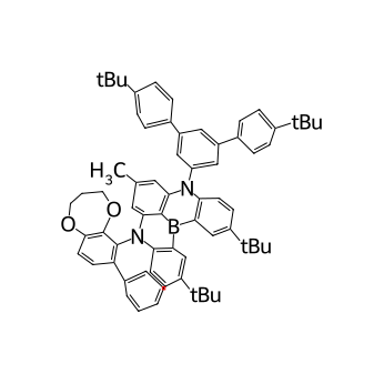 Cc1cc2c3c(c1)N(c1c(-c4ccccc4)ccc4c1OCCCO4)c1ccc(C(C)(C)C)cc1B3c1cc(C(C)(C)C)ccc1N2c1cc(-c2ccc(C(C)(C)C)cc2)cc(-c2ccc(C(C)(C)C)cc2)c1